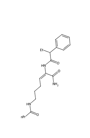 CCCC(=O)NCCCC=C(NC(=O)C(CC)c1ccccc1)C(N)=O